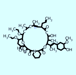 C=CCC1/C=C(\C)CC(C)CC(OCC)C2OC(O)(C(=O)C(=O)N3CCCCC3C(=O)OC(C(C)=CC3CCC(O)C(OC)C3)C(C)C(O)CC1=O)C(C)CC2OCC